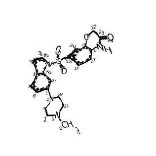 CN1CCN(c2ccc3ccn(S(=O)(=O)c4ccc5c(c4)OCC(=O)N5)c3c2)CC1